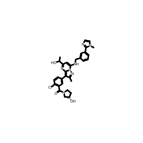 Cc1nn2c(NCc3cccc(-c4nccn4C)c3)cc(C(C)O)nc2c1-c1ccc(Cl)c(C(=O)N2CC[C@H](O)C2)c1